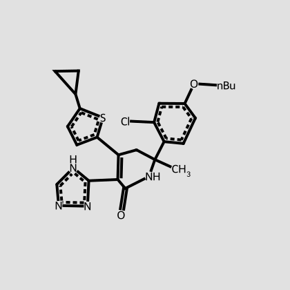 CCCCOc1ccc(C2(C)CC(c3ccc(C4CC4)s3)=C(c3nnc[nH]3)C(=O)N2)c(Cl)c1